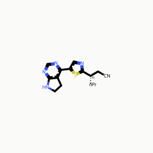 CCC[C@@H](CC#N)c1ncc(-c2ncnc3c2CCN3)s1